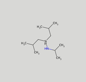 CC(C)C[SiH](CC(C)C)NC(C)C